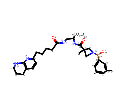 CCOC(=O)C(CNC(=O)CCCCc1ccc2c(n1)NCCC2)NC(=O)C1(C)CN([S+]([O-])c2cccc(C)c2)C1